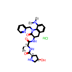 CCN(CC)c1cccc2c1N(Cc1ccccn1)C(=O)C(NC(=O)[C@@H](CC(C)C)NC(=O)[C@H]1C[C@@H](O)CN1)C2.Cl